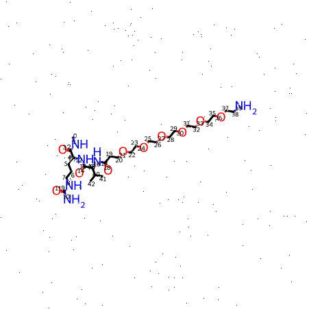 CNC(=O)[C@H](CCCNC(N)=O)NC(=O)[C@@H](NC(=O)CCOCCOCCOCCOCCOCCOCCN)C(C)C